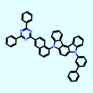 c1ccc(-c2cccc(-n3c4ccccc4c4c5c6ccccc6n(-c6cccc7cc(-c8nc(-c9ccccc9)nc(-c9ccccc9)n8)ccc67)c5ccc43)c2)cc1